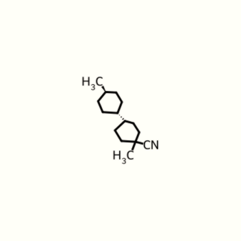 CC1(C#N)CCC([C@H]2CC[C@H](C)CC2)CC1